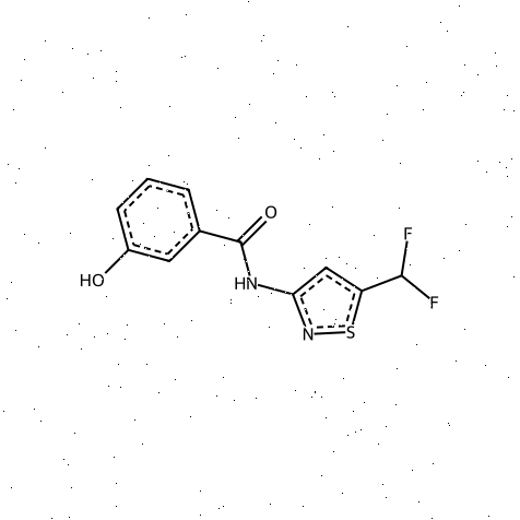 O=C(Nc1cc(C(F)F)sn1)c1cccc(O)c1